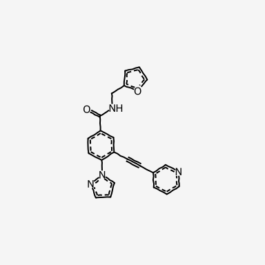 O=C(NCc1ccco1)c1ccc(-n2cccn2)c(C#Cc2cccnc2)c1